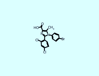 Cc1c(C(=O)O)nc(-c2ccc(Cl)cc2Cl)n1-c1ccc(Br)cc1